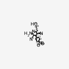 N#Cc1c(N)nc(SCCO)c(C#N)c1-c1ccc([N+](=O)[O-])cc1